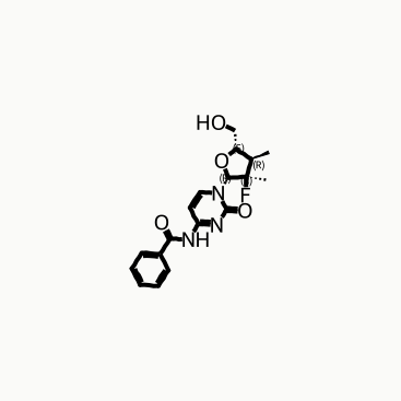 C[C@@H]1[C@@H](CO)O[C@@H](n2ccc(NC(=O)c3ccccc3)nc2=O)[C@]1(C)F